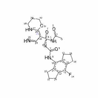 CC(=O)NS(=O)(=NC(=O)Nc1c2c(c(F)c3c1CCC3)CCC2)/C(C=N)=C1/NCCCO1